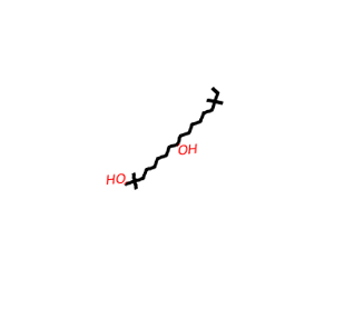 CCC(C)(C)CCCCCCC(O)CCCCCCC(C)(C)CO